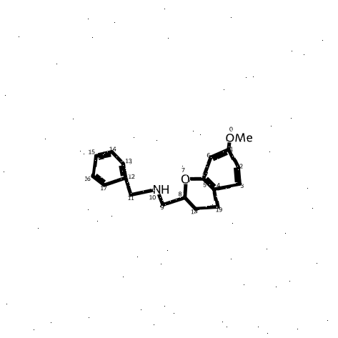 COc1ccc2c(c1)OC(CNCc1ccccc1)CC2